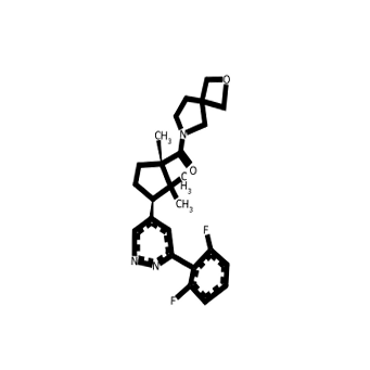 CC1(C)[C@@H](c2cnnc(-c3c(F)cccc3F)c2)CC[C@]1(C)C(=O)N1CCC2(COC2)C1